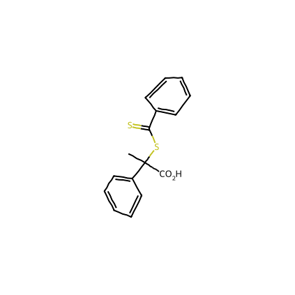 CC(SC(=S)c1ccccc1)(C(=O)O)c1ccccc1